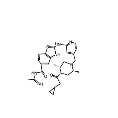 CC(=N)NC(=O)c1ccc2nc(Nc3cc(CN4C[C@@H](C)N(C(=O)CC5CC5)C[C@@H]4C)ccn3)[nH]c2c1